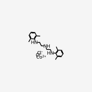 Cc1cccc(C)c1NCCNCCNc1c(C)cccc1C.[Cl-].[Cl-].[Co+2]